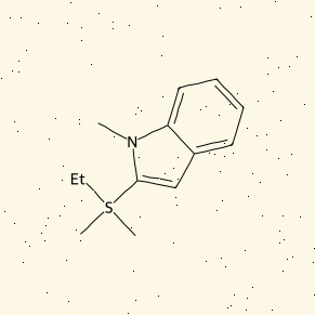 CCS(C)(C)c1cc2ccccc2n1C